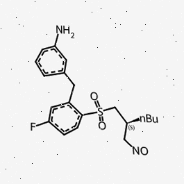 CCCC[C@@H](CN=O)CS(=O)(=O)c1ccc(F)cc1Cc1cccc(N)c1